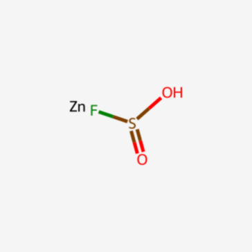 O=S(O)F.[Zn]